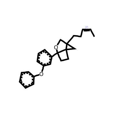 C/C=C\CCC12COC3(c4cccc(Oc5ccccc5)c4)CCC13C2